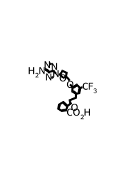 Nc1ncnc2c1ncn2C1CCC(COc2cc(CCC(=O)c3ccccc3C(=O)O)cc(C(F)(F)F)c2)O1